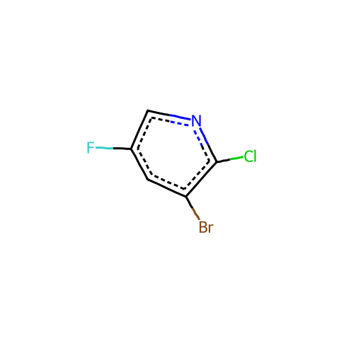 Fc1cnc(Cl)c(Br)c1